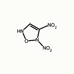 O=[N+]([O-])C1=[C]NON1[N+](=O)[O-]